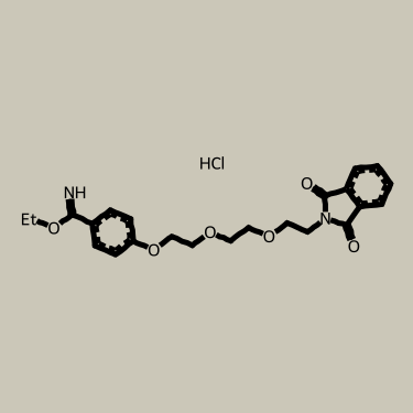 CCOC(=N)c1ccc(OCCOCCOCCN2C(=O)c3ccccc3C2=O)cc1.Cl